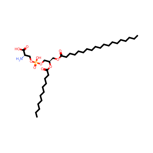 CCCCCCCCCCCCCCCCCCC(=O)OC[C@H](COP(=O)(O)OC[C@H](N)C(=O)O)OC(=O)CCCCCCCCCCC